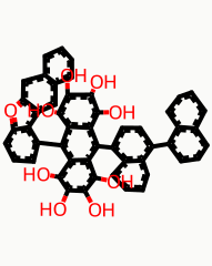 Oc1c(O)c(O)c2c(-c3cccc4oc5cc6ccccc6cc5c34)c3c(O)c(O)c(O)c(O)c3c(-c3ccc(-c4cccc5ccccc45)c4ccccc34)c2c1O